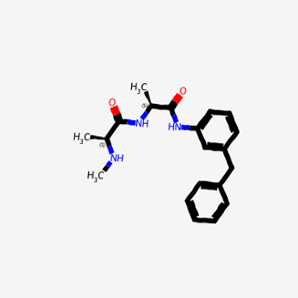 CN[C@@H](C)C(=O)N[C@@H](C)C(=O)Nc1cccc(Cc2ccccc2)c1